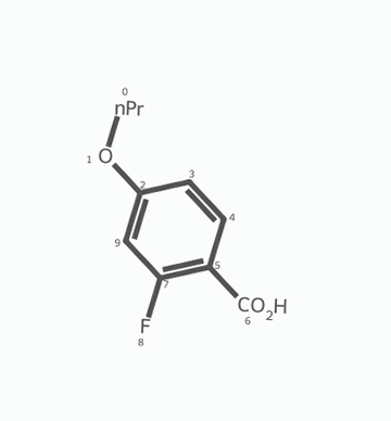 [CH2]CCOc1ccc(C(=O)O)c(F)c1